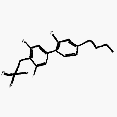 CCCCc1ccc(-c2cc(F)c(CC(F)(F)F)c(F)c2)c(F)c1